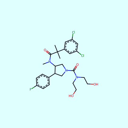 CN(C(=O)C(C)(C)c1cc(Cl)cc(Cl)c1)C1CN(C(=O)N(CCO)CCO)CC1c1ccc(F)cc1